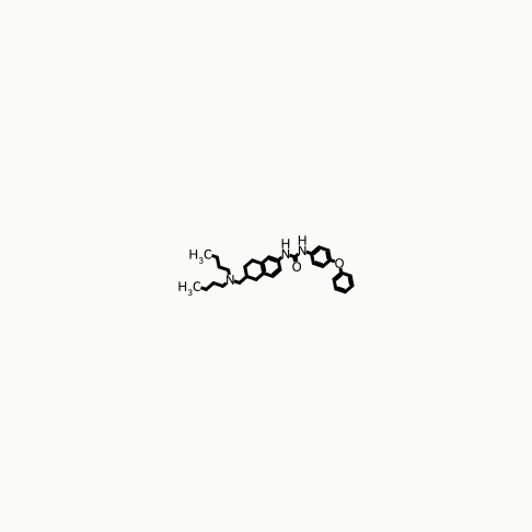 CCCCN(CCCC)CC1CCc2cc(NC(=O)Nc3ccc(Oc4ccccc4)cc3)ccc2C1